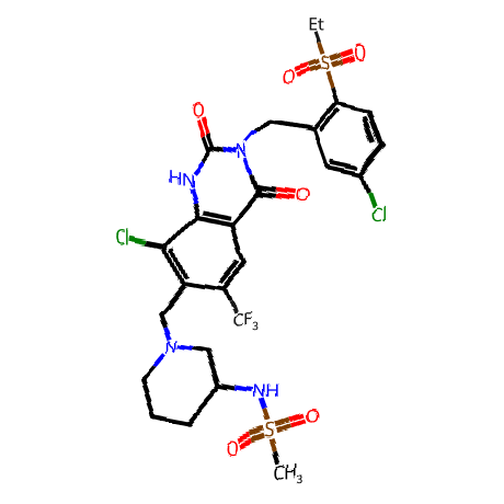 CCS(=O)(=O)c1ccc(Cl)cc1Cn1c(=O)[nH]c2c(Cl)c(CN3CCCC(NS(C)(=O)=O)C3)c(C(F)(F)F)cc2c1=O